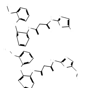 COc1ccccc1Oc1ccccc1NC(=O)CC(=O)Nc1ncc(Cl)s1.COc1ccccc1Oc1ccccc1NC(=O)CC(=O)Nc1ncc(SC)s1